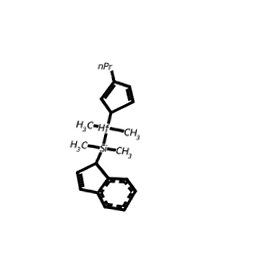 CCCC1=C[CH]([Hf]([CH3])([CH3])[Si](C)(C)C2C=Cc3ccccc32)C=C1